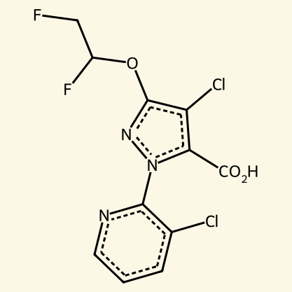 O=C(O)c1c(Cl)c(OC(F)CF)nn1-c1ncccc1Cl